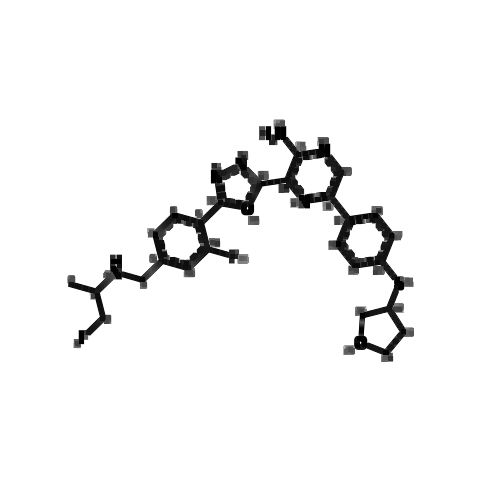 CC(CF)NCc1ccc(-c2nnc(-c3nc(-c4ccc(SC5CCOC5)cc4)cnc3N)o2)c(F)c1